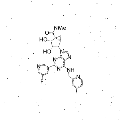 CNC(=O)[C@@]12CC1C(n1cnc3c(NCc4cc(C)ccn4)nc(-c4cncc(F)c4)nc31)[C@H](O)[C@@H]2O